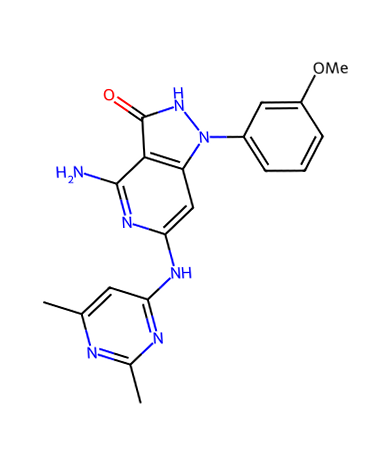 COc1cccc(-n2[nH]c(=O)c3c(N)nc(Nc4cc(C)nc(C)n4)cc32)c1